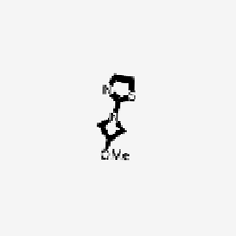 COC1CN(c2nccs2)C1